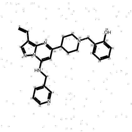 C=Cc1cnn2c(NCc3cccnc3)cc(C3CCN(Cc4ccccc4O)CC3)nc12